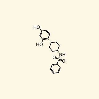 O=S(=O)(N[C@H]1CC[C@@H](c2ccc(O)cc2O)CC1)c1ccccc1